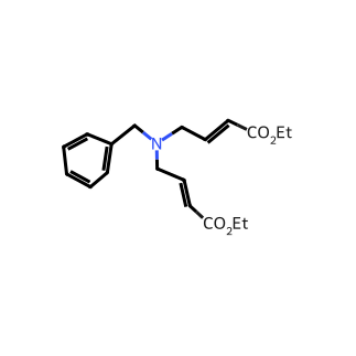 CCOC(=O)/C=C/CN(C/C=C/C(=O)OCC)Cc1ccccc1